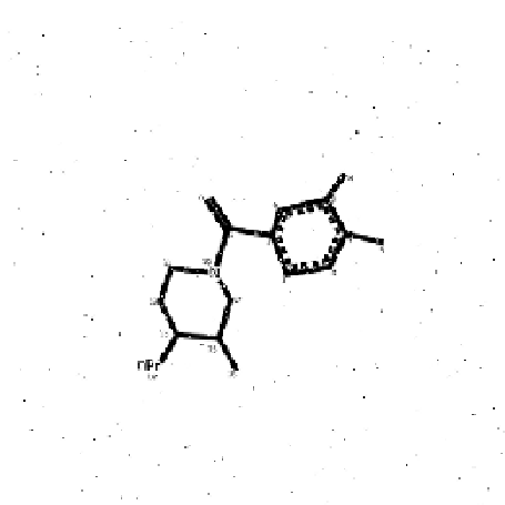 C=C(c1ccc(C)c(C)c1)N1CCC(CCC)C(C)C1